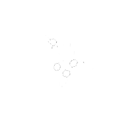 COc1ccc(C(OC[C@@H]2O[C@H](n3ccc(=S)[nH]c3=O)C(C)C2O)(c2ccccc2)c2ccc(OC)cc2)cc1